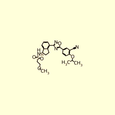 COCCS(=O)(=O)N[C@@H]1CCc2c(-c3noc(-c4ccc(OC(C)C)c(C#N)c4)n3)cccc21